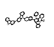 O=c1c2ccccc2c2c(-c3ccccc3)c(-c3ccc4cc(-n5c6ccccc6c6cc(-c7ccc8oc9ccccc9c8c7)ccc65)ccc4c3)cc3c4ccccc4n1c32